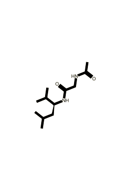 CC(=O)NCC(=O)N[C@@H](CC(C)C)C(C)C